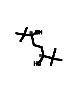 CC(C)(C)[C@H](O)CC[C@H](O)C(C)(C)C